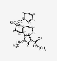 CNC(=O)c1nc(NC)n2c1CN=C(c1ccccc1Cl)c1cc(Cl)ccc1-2